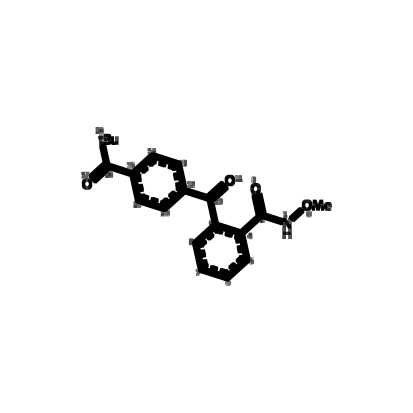 CONC(=O)c1ccccc1C(=O)c1ccc(C(=O)C(C)(C)C)cc1